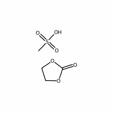 CS(=O)(=O)O.O=C1OCCO1